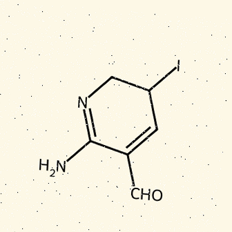 NC1=NCC(I)C=C1C=O